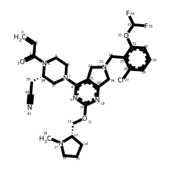 C=CC(=O)N1CCN(c2nc(OC[C@@H]3CCCN3C)nc3c2CN(Cc2c(Cl)cccc2OC(F)F)C3)C[C@@H]1CC#N